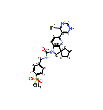 CC(C)c1ncncc1-c1ccc2c(n1)C1(CCCC1)CN2C(=O)NCc1ccc(S(C)(=O)=O)cc1